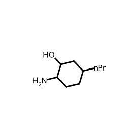 CCCC1CCC(N)C(O)C1